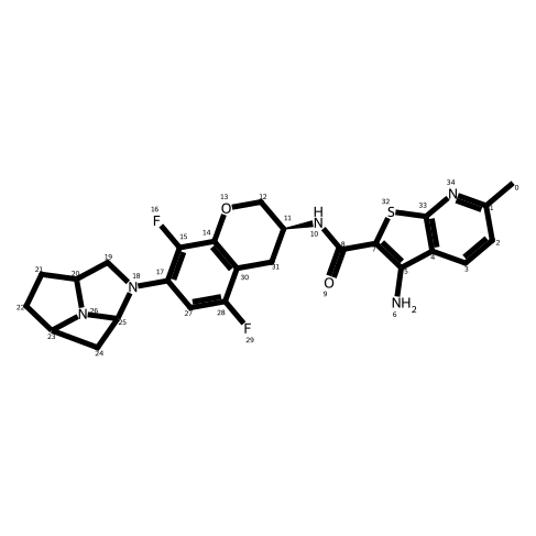 Cc1ccc2c(N)c(C(=O)N[C@@H]3COc4c(F)c(N5CC6CCC7CC5N76)cc(F)c4C3)sc2n1